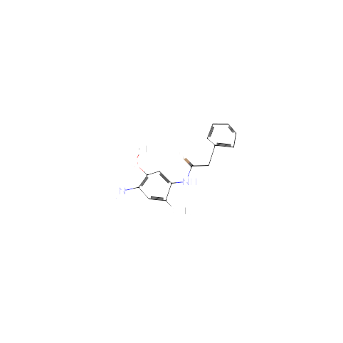 COc1cc(NC(=S)Cc2ccccc2)c(C)cc1N